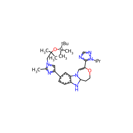 Cc1nc(-c2ccc3c(c2)N2C=C(c4ncnn4C(C)C)OCCC2N3)cn1CC(C)(C)O[Si](C)(C)C(C)(C)C